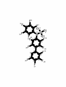 CC[Si](CC)(CC)N(c1c(F)c(F)c(F)c(F)c1F)c1c(F)c(F)c(-c2[c]c(F)c(F)c(F)c2F)c(F)c1F